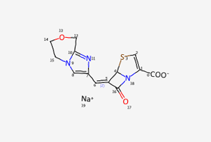 O=C([O-])C1=CSC2/C(=C\c3cn4c(n3)COCC4)C(=O)N12.[Na+]